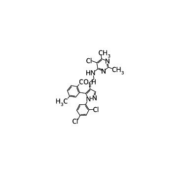 Cc1ccc(C(=O)O)c(-c2c(CCNc3nc(C)nc(C)c3Cl)cnn2-c2ccc(Cl)cc2Cl)c1